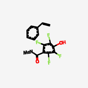 C=Cc1ccccc1.CNC(=O)c1c(F)c(F)c(O)c(F)c1F